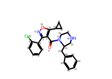 O=C(c1c(-c2ccccc2Cl)noc1C1CC1)N1CCNCC1Cc1ccccc1